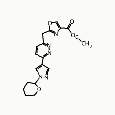 CCOC(=O)c1coc(Cc2ccc(-c3cnn(C4CCCCO4)c3)nn2)n1